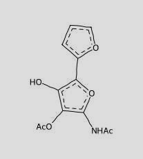 CC(=O)Nc1oc(-c2ccco2)c(O)c1OC(C)=O